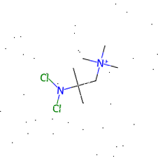 CC(C)(C[N+](C)(C)C)N(Cl)Cl